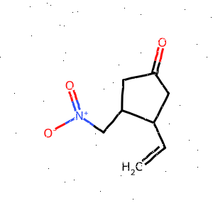 C=CC1CC(=O)CC1C[N+](=O)[O-]